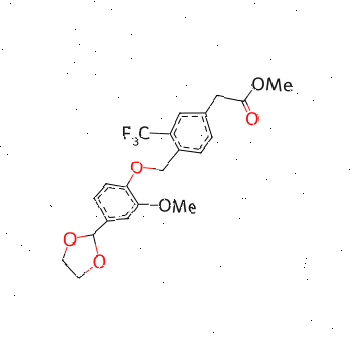 COC(=O)Cc1ccc(COc2ccc(C3OCCO3)cc2OC)c(C(F)(F)F)c1